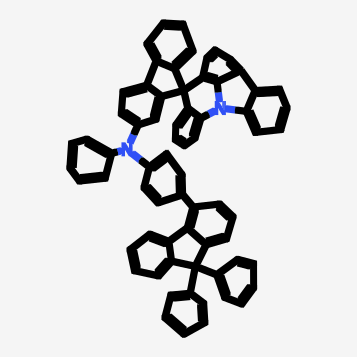 c1ccc(N(c2ccc(-c3cccc4c3-c3ccccc3C4(c3ccccc3)c3ccccc3)cc2)c2ccc3c(c2)C2(c4ccccc4-3)c3ccccc3-n3c4ccccc4c4cccc2c43)cc1